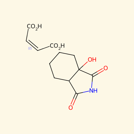 O=C(O)/C=C\C(=O)O.O=C1NC(=O)C2(O)CCCCC12